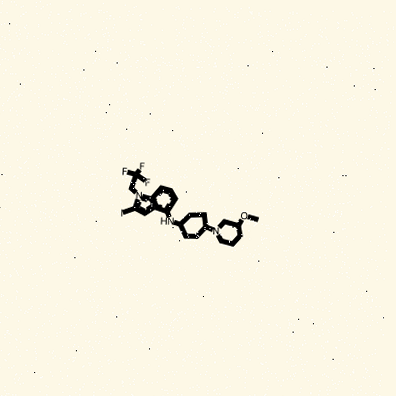 COC1CCCN(C2CCC(Nc3cccc4c3cc(I)n4CC(F)(F)F)CC2)C1